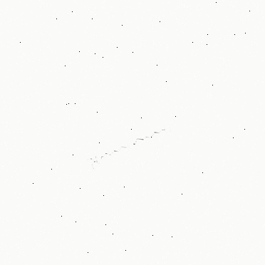 CCC(C)(CC)OCCCCCCCOCCCCCCCC[O]